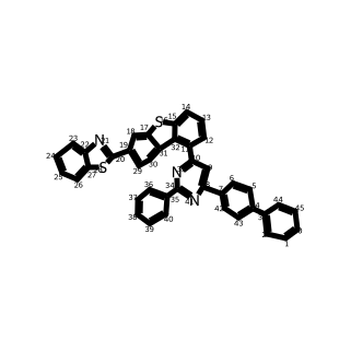 c1ccc(-c2ccc(-c3cc(-c4cccc5sc6cc(-c7nc8ccccc8s7)ccc6c45)nc(-c4ccccc4)n3)cc2)cc1